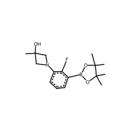 CC1(O)CN(c2cccc(B3OC(C)(C)C(C)(C)O3)c2F)C1